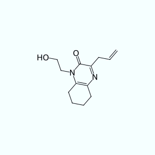 C=CCc1nc2c(n(CCO)c1=O)CCCC2